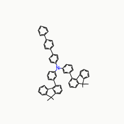 CC1(C)c2ccccc2-c2c(-c3cccc(N(c4ccc(-c5ccc(-c6ccccc6)cc5)cc4)c4cccc(-c5cccc6c5-c5ccccc5C6(C)C)c4)c3)cccc21